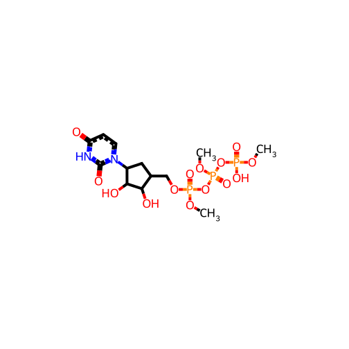 COP(=O)(O)OP(=O)(OC)OP(=O)(OC)OCC1CC(n2ccc(=O)[nH]c2=O)C(O)C1O